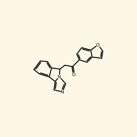 O=C(CC1c2ccccc2-c2cncn21)c1ccc2occc2c1